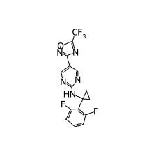 Fc1cccc(F)c1C1(Nc2ncc(-c3noc(C(F)(F)F)n3)cn2)CC1